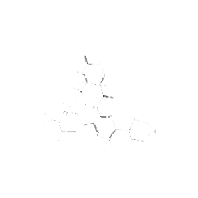 C[C@@H]1CN(c2cc(F)c(C3CCNCC3)cc2NC(=O)c2c[nH]c(=O)cc2C(F)(F)F)C[C@H](C)N1C